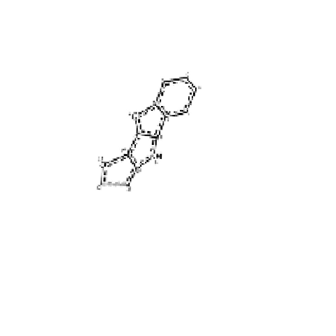 c1ccc2c(c1)oc1c2[nH]c2ccoc21